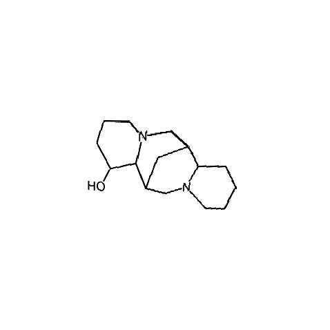 OC1CCCN2CC3CC(CN4CCCCC34)C12